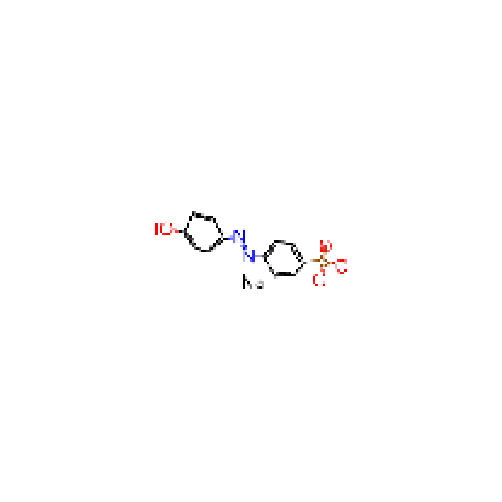 O=S(=O)([O-])c1ccc(/N=N/c2ccc(O)cc2)cc1.[Na+]